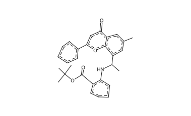 Cc1cc(C(C)Nc2ccccc2C(=O)OC(C)(C)C)c2oc(-c3ccccc3)cc(=O)c2c1